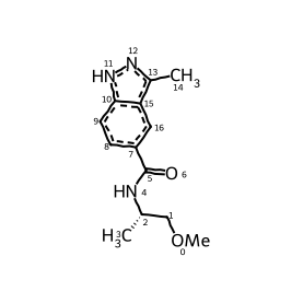 COC[C@H](C)NC(=O)c1ccc2[nH]nc(C)c2c1